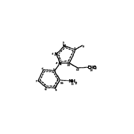 Cc1nnn(-c2ccccc2N)c1CC=O